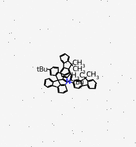 CC(C)(C)c1ccc2c(c1)C1(c3cc(C(C)(C)C)ccc3-2)c2ccccc2-c2cccc(N(c3ccc4c(c3)C(C)(C)c3ccccc3-4)c3ccc4c(c3)C(C)(C)c3ccccc3-4)c21